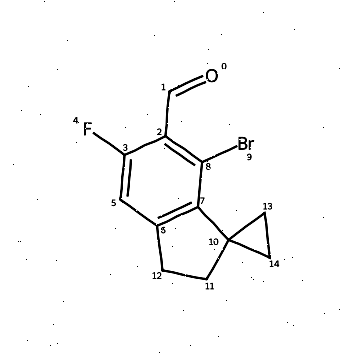 O=Cc1c(F)cc2c(c1Br)C1(CC2)CC1